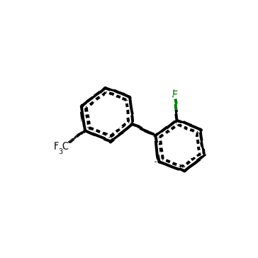 Fc1ccc[c]c1-c1cccc(C(F)(F)F)c1